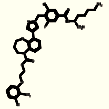 Cc1c(Cl)cccc1OCCOC(=O)N1CCCOc2c(-c3cnn(Cc4c(F)cc(C(=O)N[C@@H](CCCCN)C(=O)O)cc4Cl)c3)cccc21